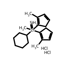 CC1=[C]([Zr]([CH3])(=[SiH2])([C]2=C(C)C=CC2)[CH]2CCCCC2)CC=C1.Cl.Cl